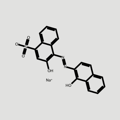 O=S(=O)([O-])c1cc(O)c(/N=N/c2ccc3ccccc3c2O)c2ccccc12.[Na+]